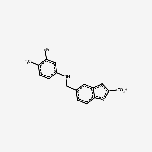 CCCc1cc(NCc2ccc3oc(C(=O)O)cc3c2)ccc1C(F)(F)F